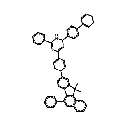 CC1(C)c2cc(C3C=CC(C4=CC(c5ccc(C6=CCCC=C6)cc5)NC(c5ccccc5)=N4)=CC3)ccc2-c2c(-c3ccccc3)cc3ccccc3c21